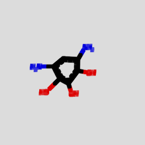 Nc1cc(N)c(O)c(O)c1O